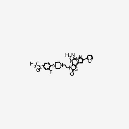 C[S+]([O-])c1ccc(N2CCN(CCn3c(=O)sc4c3nc(N)n3nc(-c5ccco5)cc43)CC2)c(F)c1